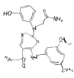 Cc1cc(C)cc(Nc2nc(N(CC(N)=O)c3cccc(O)c3)ncc2C(N)=O)c1